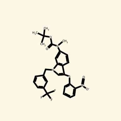 CN(C(=O)OC(C)(C)C)c1ccc2c(Sc3ccccc3[N+](=O)[O-])cn(Cc3cccc(C(F)(F)F)c3)c2c1